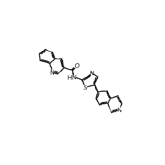 O=C(Nc1ncc(-c2ccc3cnccc3c2)s1)c1cnc2ccccc2c1